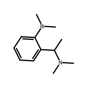 CC(c1cccc[c]1[Bi]([CH3])[CH3])N(C)C